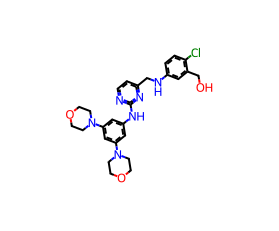 OCc1cc(NCc2ccnc(Nc3cc(N4CCOCC4)cc(N4CCOCC4)c3)n2)ccc1Cl